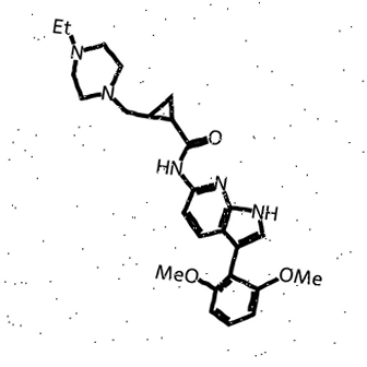 CCN1CCN(CC2CC2C(=O)Nc2ccc3c(-c4c(OC)cccc4OC)c[nH]c3n2)CC1